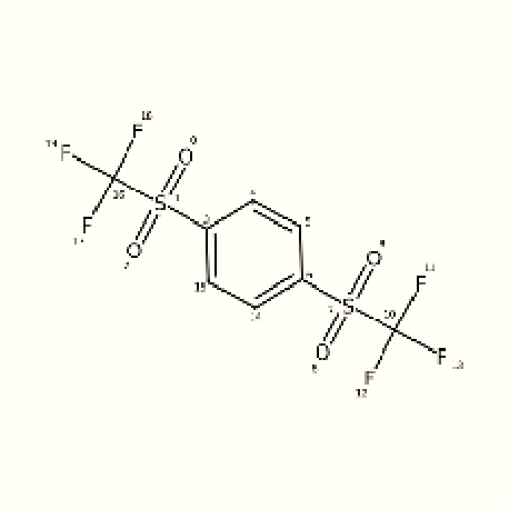 O=S(=O)(c1[c]cc(S(=O)(=O)C(F)(F)F)cc1)C(F)(F)F